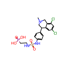 CN1Cc2c(Cl)cc(Cl)cc2C(c2ccc(NS(=O)(=O)NCCP(=O)(O)O)cc2)C1